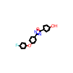 Oc1ccc(-c2nc(-c3ccc(Oc4ccc(F)cc4)cc3)no2)cc1